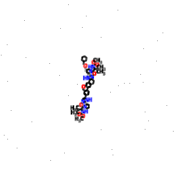 COC(=O)N[C@H](C(=O)N1CCC[C@H]1c1ncc(-c2ccc3c(c2)COc2cc4c(cc2-3)CCc2nc([C@@H]3C[C@H](COCC5CCCCC5)CN3C(=O)[C@@H](NC(=O)OC)C(C)C)[nH]c2-4)[nH]1)C(C)C